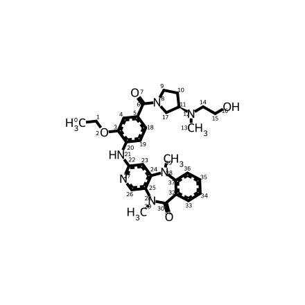 CCOc1cc(C(=O)N2CC[C@@H](N(C)CCO)C2)ccc1Nc1cc2c(cn1)N(C)C(=O)c1ccccc1N2C